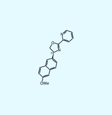 COc1ccc2cc([C@H]3COC(c4ccccn4)=N3)ccc2c1